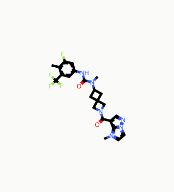 Cc1c(F)cc(NC(=O)N(C)C2CC3(C2)CN(C(=O)c2cnn4ccn(C)c24)C3)cc1C(F)(F)F